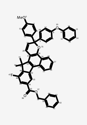 COc1ccc(C2(c3ccc(Oc4ccccc4)cc3)C=Cc3c4c(c5ccccc5c3O2)-c2cc(C(=O)OCc3ccccc3)cc(F)c2C4(C)C)cc1